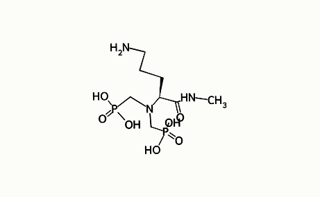 CNC(=O)[C@H](CCCN)N(CP(=O)(O)O)CP(=O)(O)O